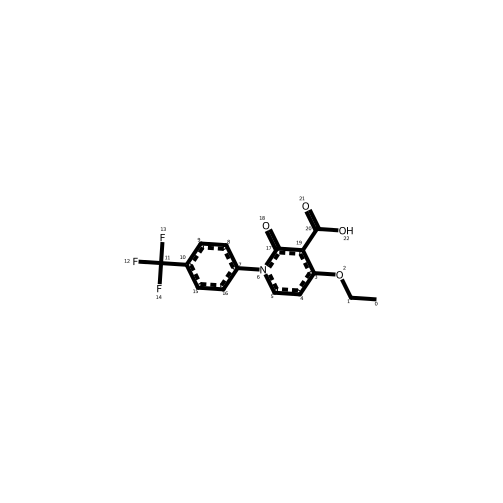 CCOc1ccn(-c2ccc(C(F)(F)F)cc2)c(=O)c1C(=O)O